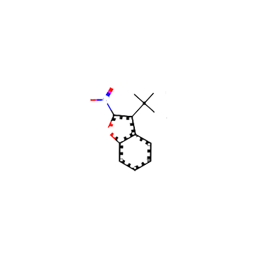 [2H]C(C)(C)c1c([N+](=O)[O-])oc2ccccc12